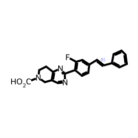 O=C(O)N1CCc2nc(-c3ccc(/C=C/c4ccccc4)cc3F)ncc2C1